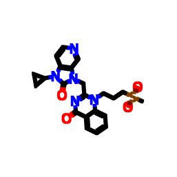 CS(=O)(=O)CCCn1c(Cn2c(=O)n(C3CC3)c3ccncc32)nc(=O)c2ccccc21